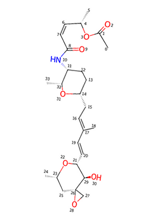 CC(=O)O[C@@H](C)/C=C\C(=O)N[C@@H]1CC[C@H](C/C=C(C)/C=C/[C@H]2O[C@@H](C)C[C@@]3(CO3)[C@@H]2O)O[C@@H]1C